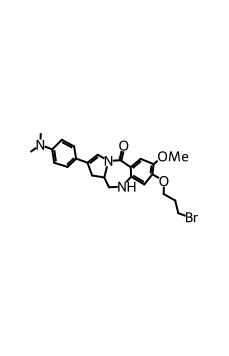 COc1cc2c(cc1OCCCBr)NCC1CC(c3ccc(N(C)C)cc3)=CN1C2=O